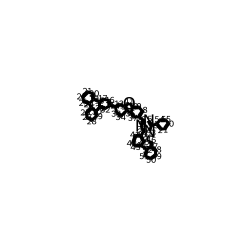 c1ccc(-c2nc(-c3ccc4oc5cc(-c6ccc7c8ccccc8c8ccccc8c7c6)ccc5c4c3)nc(-c3cccc4c3sc3ccccc34)n2)cc1